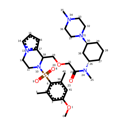 COc1cc(C)c(S(=O)(=O)N2CCn3cccc3C2COCC(=O)N(C)[C@H]2CCC[C@H](N3CCN(C)CC3)C2)c(C)c1